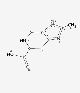 Cc1nc2c([nH]1)CNC(C(=O)O)C2